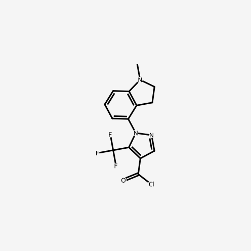 CN1CCc2c1cccc2-n1ncc(C(=O)Cl)c1C(F)(F)F